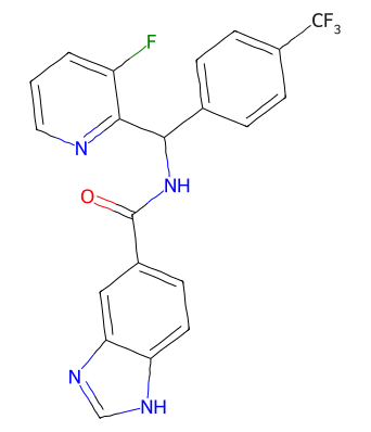 O=C(NC(c1ccc(C(F)(F)F)cc1)c1ncccc1F)c1ccc2[nH]cnc2c1